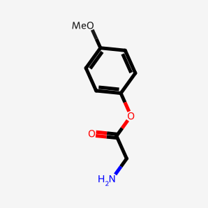 COc1ccc(OC(=O)CN)cc1